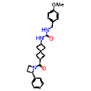 COc1ccc(CNC(=O)NC2CC3(C2)CC(C(=O)N2CCC2c2ccccc2)C3)cc1